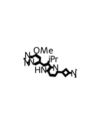 COc1cc(-c2[nH]c3ccc(C4CC(N(C)C)C4)nc3c2C(C)C)cn2ncnc12